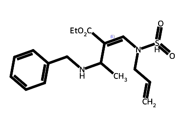 C=CCN(/C=C(/C(=O)OCC)C(C)NCc1ccccc1)[SH](=O)=O